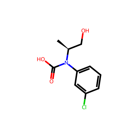 C[C@@H](CO)N(C(=O)O)c1cccc(Cl)c1